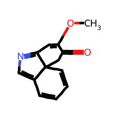 COC1=CC2=NC=C3C=CC=CC32CC1=O